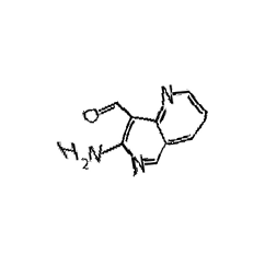 Nc1ncc2cccnc2c1C=O